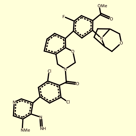 CNc1cncc(-c2cc(Cl)c(C(=O)N3COc4c(cccc4-c4cc(N5C6CCC5COC6)c(C(=O)OC)cc4F)C3)c(Cl)c2)c1N=N